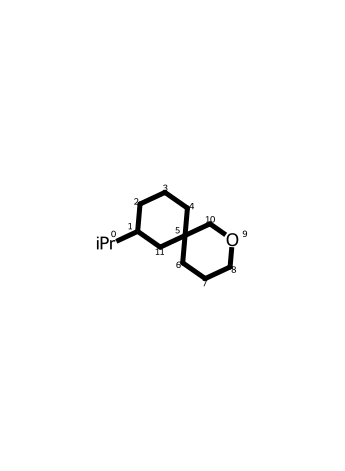 CC(C)C1CCCC2(CCCOC2)C1